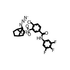 [N-]=[N+]=NC[C@]1(O)C2CCC1C[C@@H](S(=O)(=O)c1cc(C(=O)Nc3cc(F)c(F)c(F)c3)ccc1Cl)C2